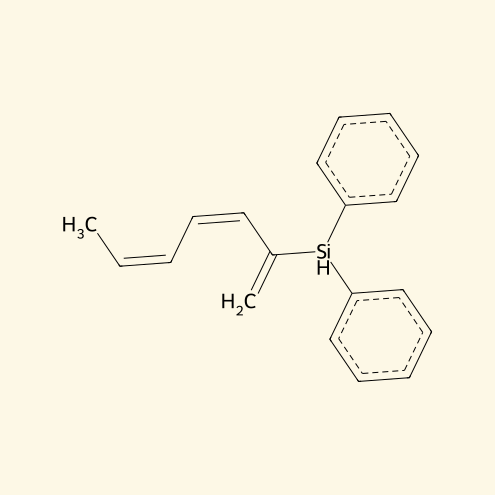 C=C(/C=C\C=C/C)[SiH](c1ccccc1)c1ccccc1